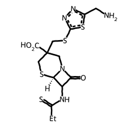 CCC(=S)NC1C(=O)N2CC(CSc3nnc(CN)s3)(C(=O)O)CS[C@H]12